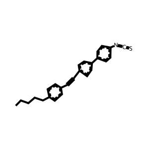 CCCCCc1ccc(C#Cc2ccc(-c3ccc(N=C=S)cc3)cc2)cc1